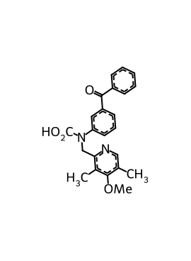 COc1c(C)cnc(CN(C(=O)O)c2cccc(C(=O)c3ccccc3)c2)c1C